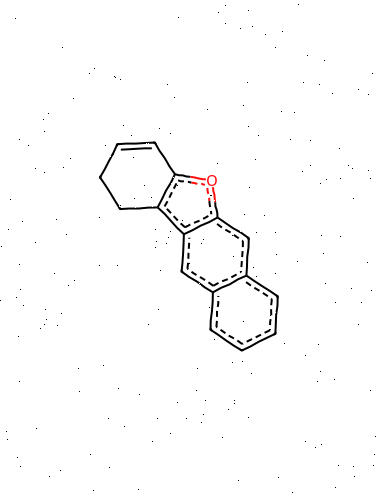 C1=Cc2oc3cc4ccccc4cc3c2CC1